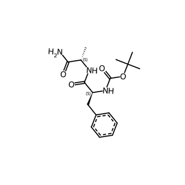 C[C@H](NC(=O)[C@H](Cc1ccccc1)NC(=O)OC(C)(C)C)C(N)=O